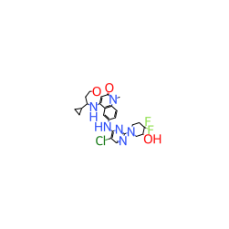 Cn1c(=O)c2c(c3cc(Nc4nc(N5CCC(F)(F)C(O)C5)ncc4Cl)ccc31)NC(C1CC1)CCO2